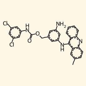 Cc1ccc2nc3ccccc3c(Nc3cc(N)cc(COC(=O)Nc4cc(Cl)cc(Cl)c4)c3)c2c1